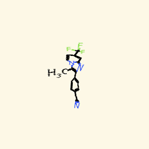 Cc1c(-c2ccc(C#N)cc2)nc2cc(C(F)(F)F)ccn12